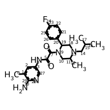 Cc1cc(NC(=O)C(=O)N2CC(C)N(CC(C)C)CC2c2ccc(F)cc2)cnc1N